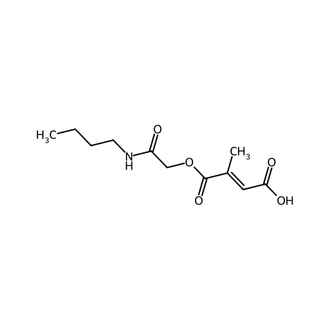 CCCCNC(=O)COC(=O)/C(C)=C/C(=O)O